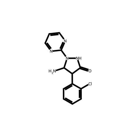 NC1C(c2ccccc2Cl)C(=O)NN1c1ncccn1